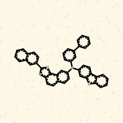 c1ccc(-c2cccc(N(c3ccc4c(c3)oc3ccccc34)c3ccc4ccc5nc(-c6ccc7ccccc7c6)oc5c4c3)c2)cc1